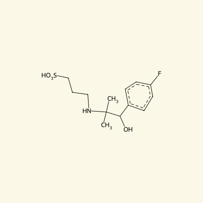 CC(C)(NCCCS(=O)(=O)O)C(O)c1ccc(F)cc1